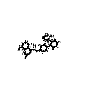 Cc1cc(NCc2ccc(-c3ccccc3-c3nnn[nH]3)cc2)c2cccc(C)c2n1